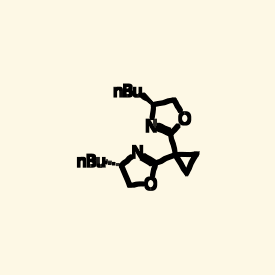 CCCC[C@H]1COC(C2(C3=N[C@@H](CCCC)CO3)CC2)=N1